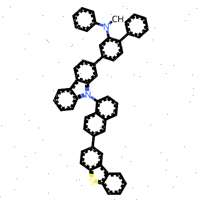 CN(c1ccccc1)c1cc(-c2ccc3c4ccccc4n(-c4cccc5cc(-c6ccc7sc8ccccc8c7c6)ccc45)c3c2)ccc1-c1ccccc1